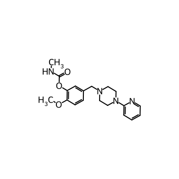 CNC(=O)Oc1cc(CN2CCN(c3ccccn3)CC2)ccc1OC